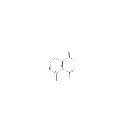 Cc1cccc(C(=O)[O-])c1C(=O)[O-].[Na+].[Na+]